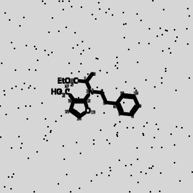 CCOC(=O)C(C)N(CCc1ccccc1)c1occc1C(=O)O